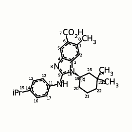 Cc1cc2c(cc1C(=O)O)nc(Nc1ccc(C(C)C)cc1)n2[C@@H]1CCCC(C)(C)C1